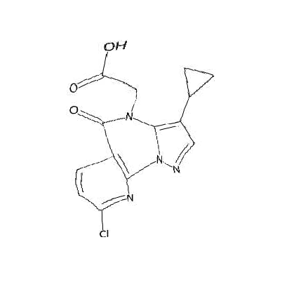 O=C(O)Cn1c(=O)c2ccc(Cl)nc2n2ncc(C3CC3)c12